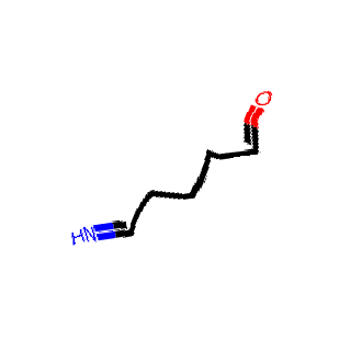 N=CCCC[C]=O